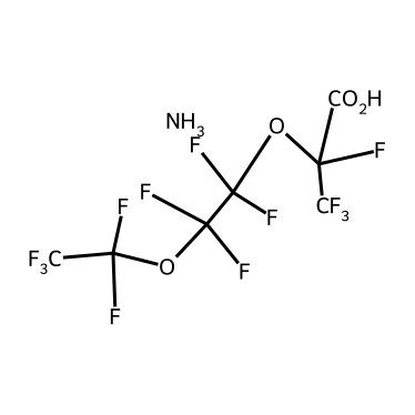 N.O=C(O)C(F)(OC(F)(F)C(F)(F)OC(F)(F)C(F)(F)F)C(F)(F)F